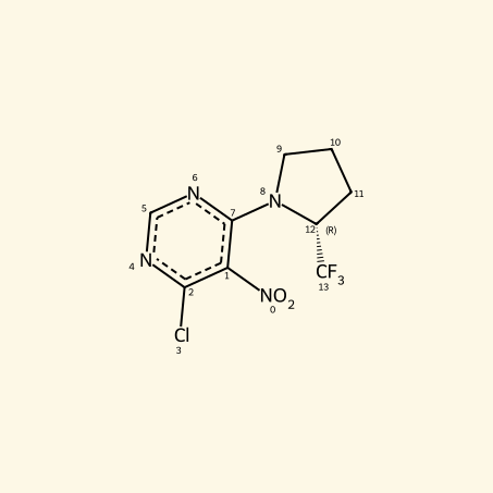 O=[N+]([O-])c1c(Cl)ncnc1N1CCC[C@@H]1C(F)(F)F